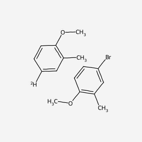 COc1ccc(Br)cc1C.[2H]c1ccc(OC)c(C)c1